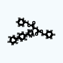 O=C(CC(C(=O)OCc1ccccc1)n1cnc(-c2ccc(-c3ccccc3)cc2)c1)OCc1ccccc1